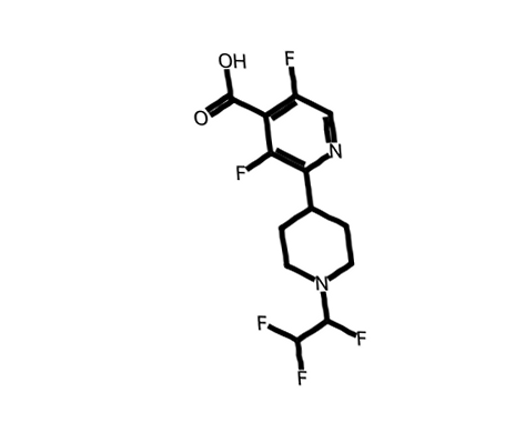 O=C(O)c1c(F)cnc(C2CCN(C(F)C(F)F)CC2)c1F